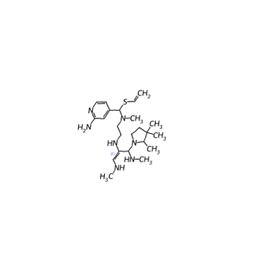 C=CSC(c1ccnc(N)c1)N(C)CCN/C(=C/NC)C(NC)N1CCC(C)(C)C1C